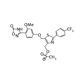 COc1cc(OCc2sc(-c3ccc(C(F)(F)F)cc3)nc2COS(C)(=O)=O)ccc1-c1noc(=O)[nH]1